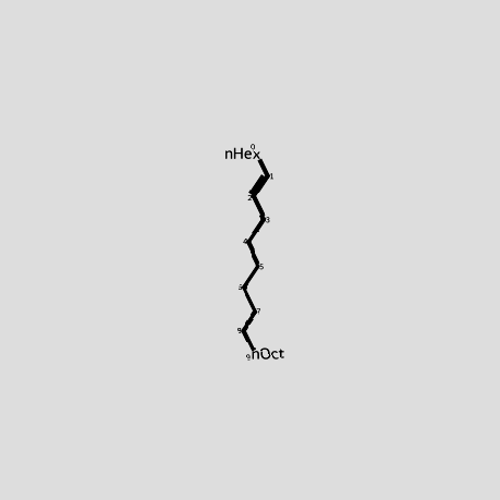 CCCCCC/C=C/CCCCCCCCCCCCCC